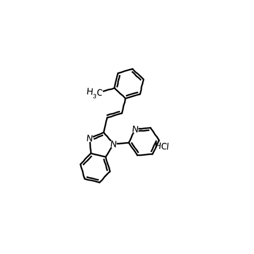 Cc1ccccc1/C=C/c1nc2ccccc2n1-c1ccccn1.Cl